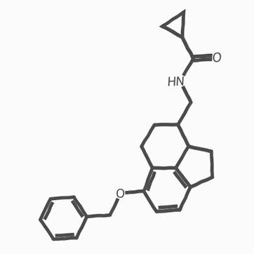 O=C(NCC1CCc2c(OCc3ccccc3)ccc3c2C1CC3)C1CC1